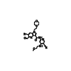 COCCNc1cc(NC(=O)c2cn(CCN3CCOCC3)c3cc(Br)c(C=O)nc23)ncc1C#N